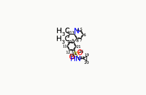 CC(C)c1ncccc1-c1cccc(S(=O)(=O)NC2CC2)c1